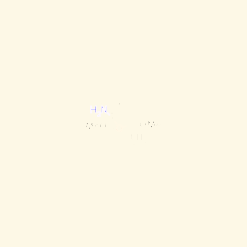 COC1(C)CCC(N)(OC)O1